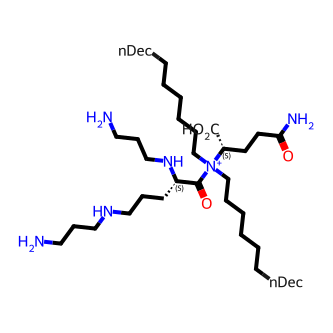 CCCCCCCCCCCCCCCC[N+](CCCCCCCCCCCCCCCC)(C(=O)[C@H](CCCNCCCN)NCCCN)[C@@H](CCC(N)=O)C(=O)O